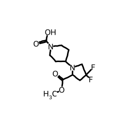 COC(=O)C1CC(F)(F)CN1C1CCN(C(=O)O)CC1